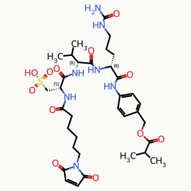 CC(C)C(=O)OCc1ccc(NC(=O)[C@@H](CCCNC(N)=O)NC(=O)[C@H](NC(=O)[C@@H](CS(=O)(=O)O)NC(=O)CCCCCN2C(=O)C=CC2=O)C(C)C)cc1